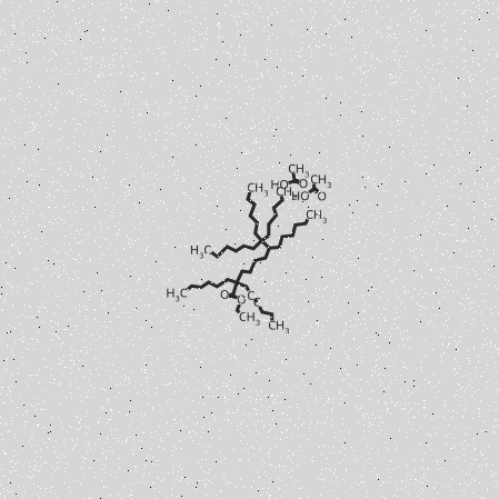 CC(=O)O.CC(=O)O.CCCCCCC(CCCCC(CCCCCC)(CCCCCC)C(=O)OCC)C(CCCCCC)(CCCCCC)CCCCCC